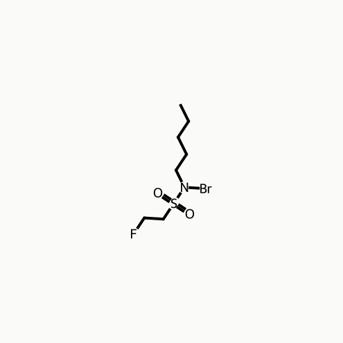 CCCCCN(Br)S(=O)(=O)CCF